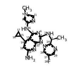 C[C@H](Nc1nc(Nc2cn(C)cn2)c2c(C3CC3)cc(N)nc2n1)c1ncc(F)cn1